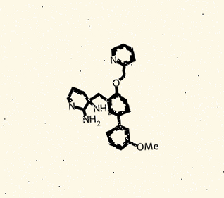 COc1cccc(-c2ccc(OCc3ccccn3)c(CC3(N)C=CC=NC3N)c2)c1